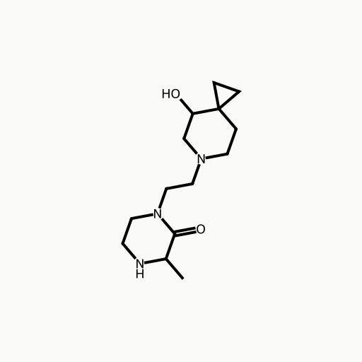 CC1NCCN(CCN2CCC3(CC3)C(O)C2)C1=O